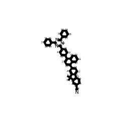 CC1(C)c2cc(C#N)ccc2-c2ccc(-c3ccc(-c4ccc(-c5nc(-c6ccccc6)nc(-c6ccccc6)n5)cc4)c4ccccc34)cc21